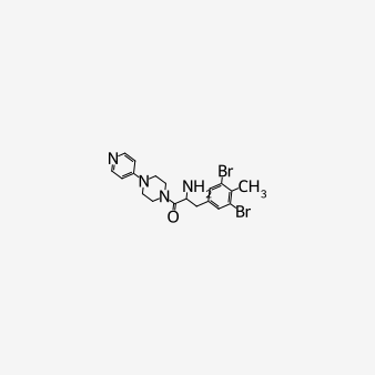 Cc1c(Br)cc(CC(N)C(=O)N2CCN(c3ccncc3)CC2)cc1Br